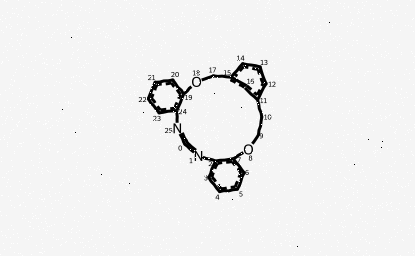 C1=Nc2ccccc2OCCc2cccc(c2)COc2ccccc2N=1